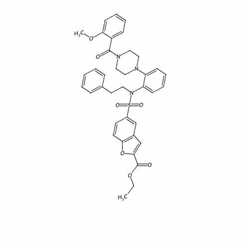 CCOC(=O)c1cc2cc(S(=O)(=O)N(CCc3ccccc3)c3ccccc3N3CCN(C(=O)c4ccccc4OC)CC3)ccc2o1